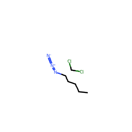 CCCCCN=[N+]=[N-].ClCCl